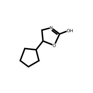 OC1=NCC(C2CCCC2)O1